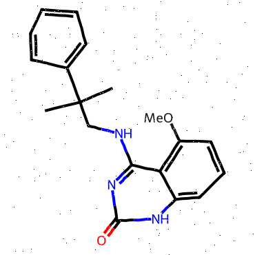 COc1cccc2[nH]c(=O)nc(NCC(C)(C)c3ccccc3)c12